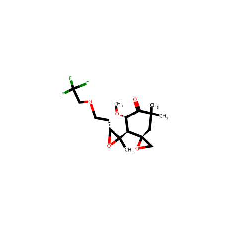 CO[C@@H]1C(=O)C(C)(C)C[C@]2(CO2)[C@H]1C1(C)O[C@@H]1CCOCC(F)(F)F